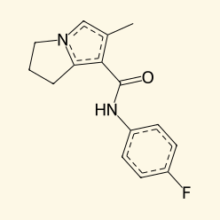 Cc1cn2c(c1C(=O)Nc1ccc(F)cc1)CCC2